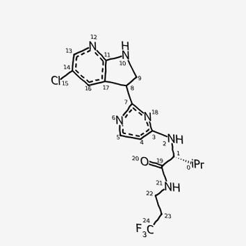 CC(C)[C@@H](Nc1ccnc(C2CNc3ncc(Cl)cc32)n1)C(=O)NCCC(F)(F)F